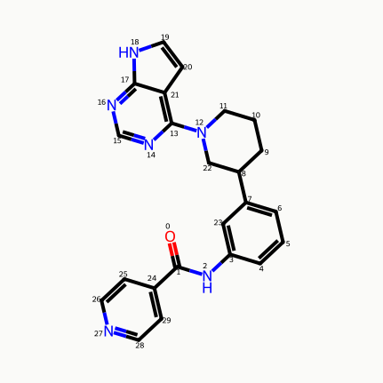 O=C(Nc1cccc(C2CCCN(c3ncnc4[nH]ccc34)C2)c1)c1ccncc1